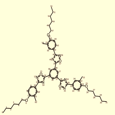 CCCCCCOc1ccc(-c2noc(-c3cc(-c4nc(-c5ccc(OCCCCCC)c(C)c5)no4)cc(-c4nc(-c5ccc(OCCCCCC)c(C)c5)no4)c3)n2)cc1C